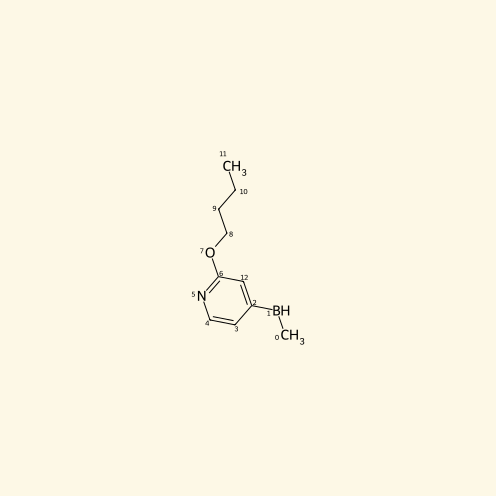 CBc1ccnc(OCCCC)c1